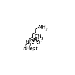 CCCCCCCCCCCCCCN.C[NH+](C)[O-]